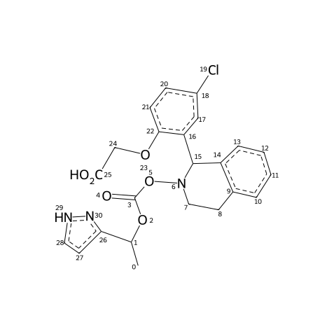 CC(OC(=O)ON1CCc2ccccc2C1c1cc(Cl)ccc1OCC(=O)O)c1cc[nH]n1